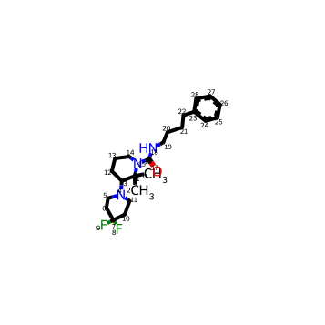 CC1(C)C(N2CCC(F)(F)CC2)CCCN1C(=O)NCCCCc1ccccc1